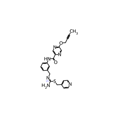 CC#CCOc1cnc(C(=O)Nc2cccc(C/N=C(/N)SCc3ccncc3)c2)cn1